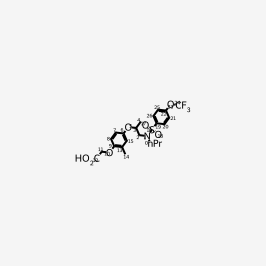 CCCN(CC(C)Oc1ccc(OCC(=O)O)c(C)c1)S(=O)(=O)c1ccc(OC(F)(F)F)cc1